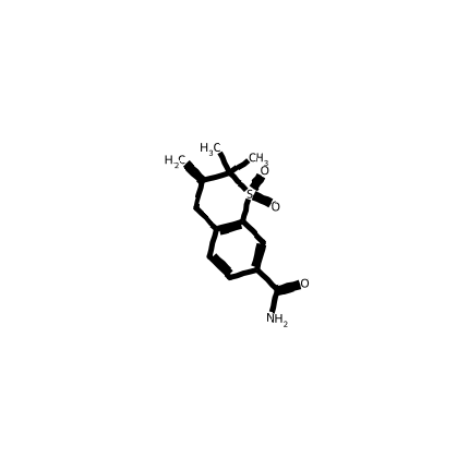 C=C1Cc2ccc(C(N)=O)cc2S(=O)(=O)C1(C)C